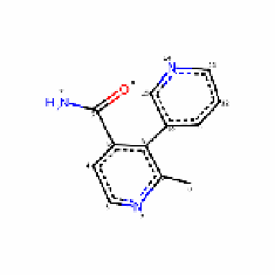 Cc1nccc(C(N)=O)c1-c1cccnc1